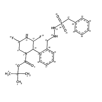 CC(C)(C)OC(=O)N1CC(F)NC(F)C1c1ccccc1CNNS(=O)(=O)Cc1ccccc1